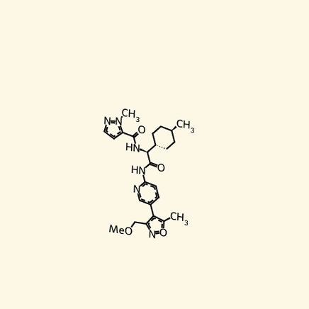 COCc1noc(C)c1-c1ccc(NC(=O)[C@@H](NC(=O)c2ccnn2C)[C@H]2CC[C@H](C)CC2)nc1